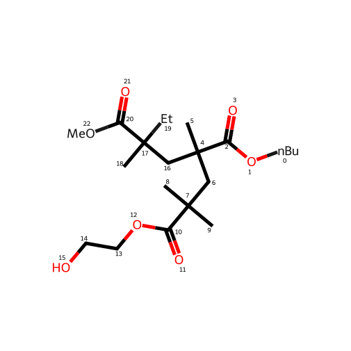 CCCCOC(=O)C(C)(CC(C)(C)C(=O)OCCO)CC(C)(CC)C(=O)OC